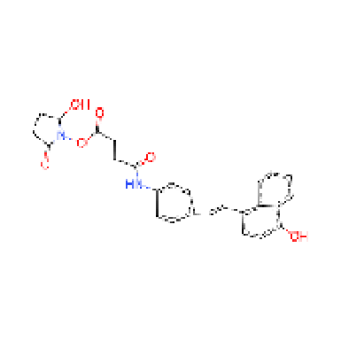 O=C(CCC(=O)ON1C(=O)CCC1O)Nc1ccc(/C=C/c2ccc(O)c3ccccc23)cc1